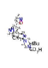 Cc1cc(-c2cc(-c3ccc(N4CCN(C(=O)O)C(C(C)(C)C)C4)nc3)c3c(C#N)cnn3c2)on1